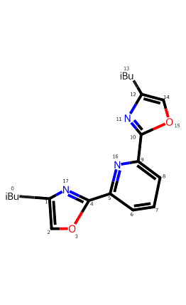 CCC(C)c1coc(-c2cccc(-c3nc(C(C)CC)co3)n2)n1